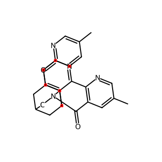 Cc1ccc(OC2CC3CCC2N(C(=O)c2cc(C)cnc2-c2ncccc2C)C3)nc1